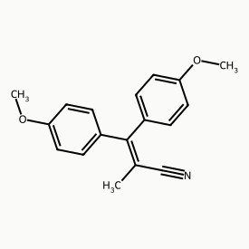 COc1ccc(C(=C(C)C#N)c2ccc(OC)cc2)cc1